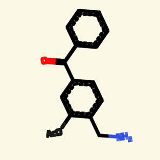 CC(=O)Oc1cc(C(=O)c2ccccc2)ccc1CN